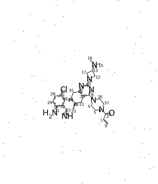 C=CC(=O)N1CCN(c2nc(N3CC(N(C)C)C3)nc3c2C[C@@H](C)[C@H](c2c(Cl)ccc(N)c2C=N)C3)CC1